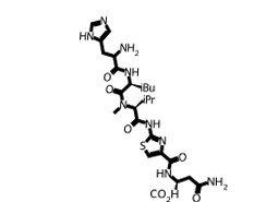 CCC(C)[C@H](NC(=O)C(N)Cc1cnc[nH]1)C(=O)N(C)[C@H](C(=O)Nc1nc(C(=O)N[C@@H](CC(N)=O)C(=O)O)cs1)C(C)C